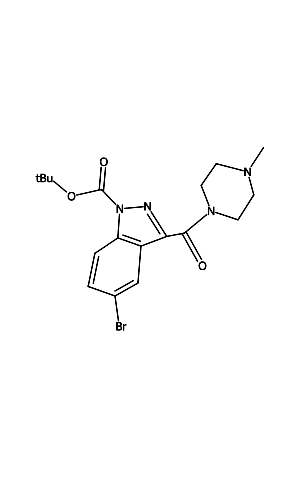 CN1CCN(C(=O)c2nn(C(=O)OC(C)(C)C)c3ccc(Br)cc23)CC1